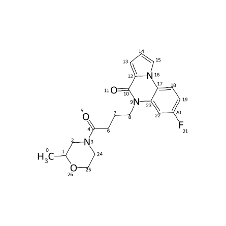 CC1CN(C(=O)CCCn2c(=O)c3cccn3c3ccc(F)cc32)CCO1